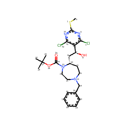 CSc1nc(Cl)c([C@@H](O)C[C@@H]2CCN(Cc3ccccc3)CCN2C(=O)OC(C)(C)C)c(Cl)n1